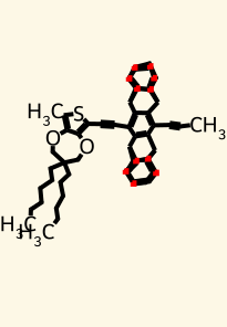 CC#Cc1c2c(c(C#Cc3sc(C)c4c3OCC(CCCCCC)(CCCCCC)CO4)c3c1C1c4ccccc4C3c3ccccc31)C1c3ccccc3C2c2ccccc21